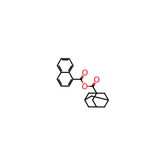 O=C(OC(=O)C12CC3CC(CC(C3)C1)C2)c1cccc2ccccc12